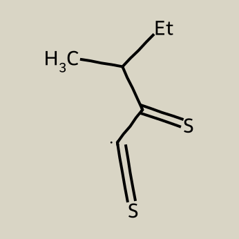 CCC(C)C(=S)[C]=S